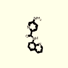 Nc1ccc(C(=O)Nc2cccc3cccnc23)nc1